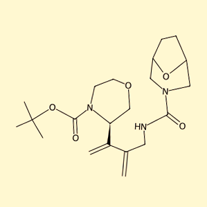 C=C(CNC(=O)N1CC2CCC(C1)O2)C(=C)[C@@H]1COCCN1C(=O)OC(C)(C)C